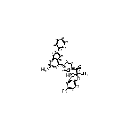 CC(C)(Oc1ccc(Cl)cc1)C(=O)N1CCN(c2nc(N)nc3sc(-c4ccccc4)cc23)CC1